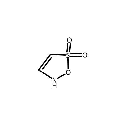 O=S1(=O)C=CNO1